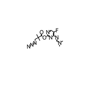 CN(C)/C=N/c1nc(OC(=O)C(C)(C)CN=[N+]=[N-])ncc1F